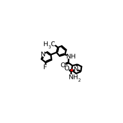 Cc1ccc(NC(=O)C2CCC3CC2N3C(N)=O)cc1-c1cncc(F)c1